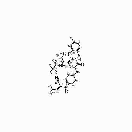 Cc1ccc(CNC(=O)C(CC2CCN(C(=O)C(C#N)=CC(C)C)CC2)NC(=O)C(NC(=O)C(C)(C)C)C(C)O)c(F)c1